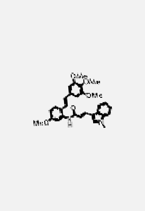 COc1ccc(C=Cc2cc(OC)c(OC)c(OC)c2)c(NC(=O)/C=C/c2cn(C)c3ccccc23)c1